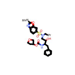 CNc1nc2ccc(S(=O)(=O)N(CC(C)C)CC(O)C(Cc3ccccc3)NC(=O)OC3CCOC3)cc2o1